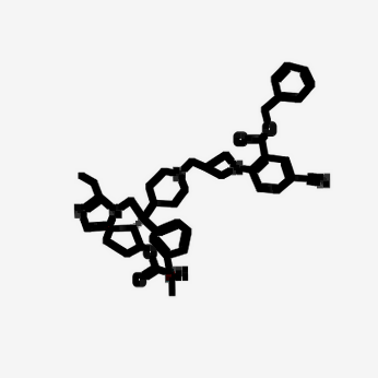 CCc1nccn1CC(c1cccc(F)c1)(C1CCN(CC2CN(c3ccc(C#N)cc3C(=O)OCc3ccccc3)C2)CC1)[C@H]1CCCC1OC(=O)NC